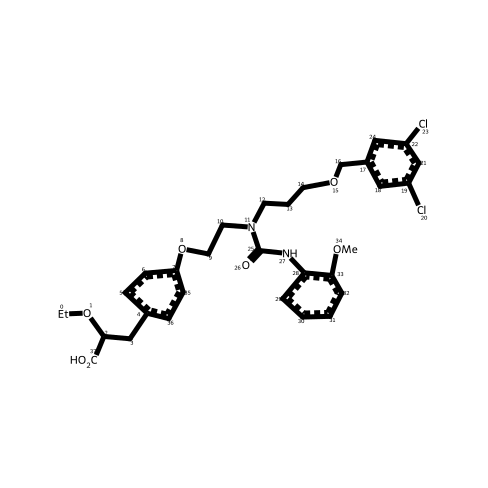 CCOC(Cc1ccc(OCCN(CCCOCc2cc(Cl)cc(Cl)c2)C(=O)Nc2ccccc2OC)cc1)C(=O)O